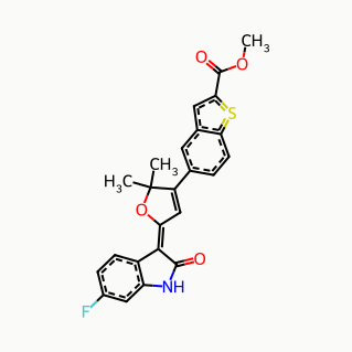 COC(=O)c1cc2cc(C3=CC(=C4C(=O)Nc5cc(F)ccc54)OC3(C)C)ccc2s1